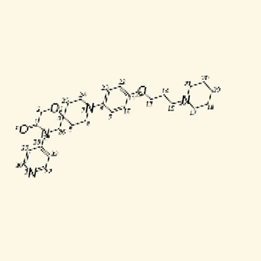 O=C1COC2(CCN(c3ccc(OCCCN4CCCCC4)cc3)CC2)CN1c1ccncc1